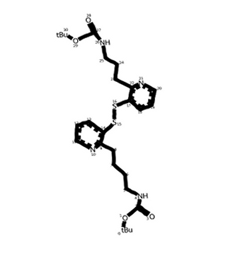 CC(C)(C)OC(=O)NCCCCc1ncccc1SSc1cccnc1CCCNC(=O)OC(C)(C)C